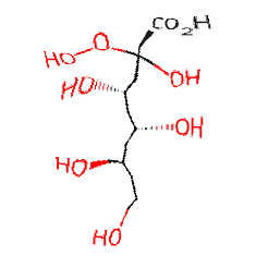 O=C(O)[C@](O)(OO)[C@@H](O)[C@H](O)[C@H](O)CO